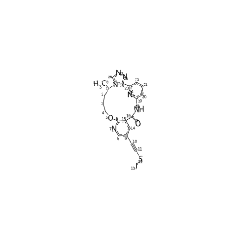 CC1CCCOc2ncc(C#CSI)cc2C(=O)Nc2cccc(n2)-c2nncn21